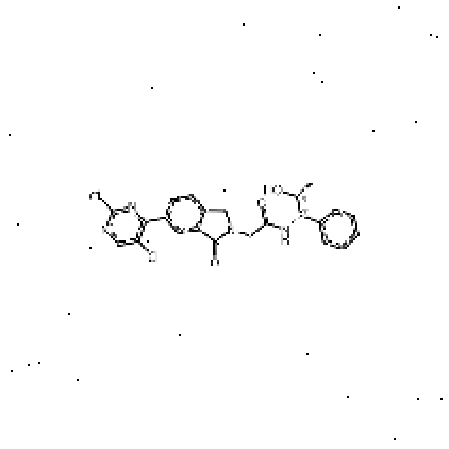 C[C@H](O)[C@@H](NC(=O)CN1Cc2ccc(-c3nc(Cl)ncc3Cl)cc2C1=O)c1ccccc1